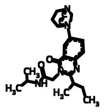 CCC(C)c1nc2ccc(N3CCN4CCC3CC4)cc2c(=O)n1CC(=O)NC(C)C